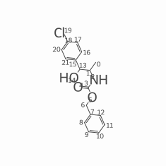 CC(NC(=O)OCc1ccccc1)C(O)c1ccc(Cl)cc1